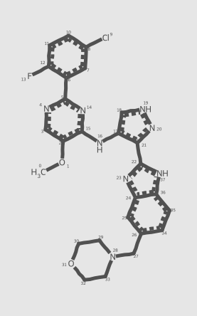 COc1cnc(-c2cc(Cl)ccc2F)nc1Nc1c[nH]nc1-c1nc2cc(CN3CCOCC3)ccc2[nH]1